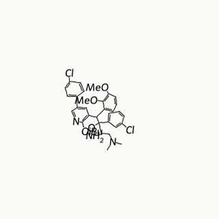 COc1cccc(C(c2cc(-c3ccc(Cl)cc3)cnc2OCC(C)C)C(CCN(C)C)(ON)c2cccc(Cl)c2)c1OC